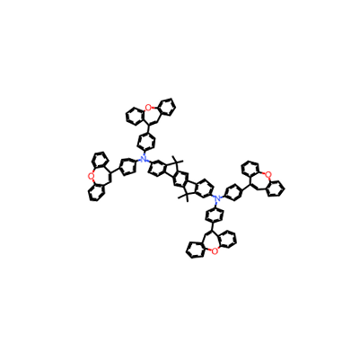 CC1(C)c2cc(N(c3ccc(C4=Cc5ccccc5Oc5ccccc54)cc3)c3ccc(C4=Cc5ccccc5Oc5ccccc54)cc3)ccc2-c2cc3c(cc21)-c1ccc(N(c2ccc(C4=Cc5ccccc5Oc5ccccc54)cc2)c2ccc(C4=Cc5ccccc5Oc5ccccc54)cc2)cc1C3(C)C